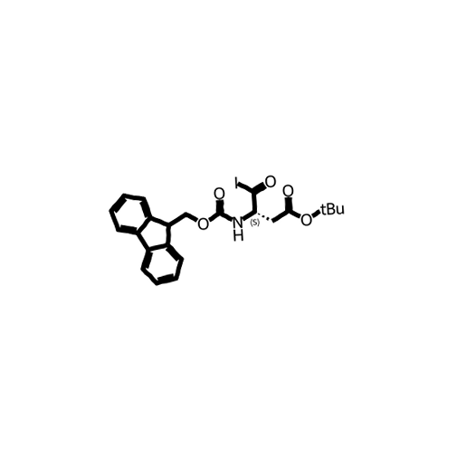 CC(C)(C)OC(=O)C[C@H](NC(=O)OCC1c2ccccc2-c2ccccc21)C(=O)I